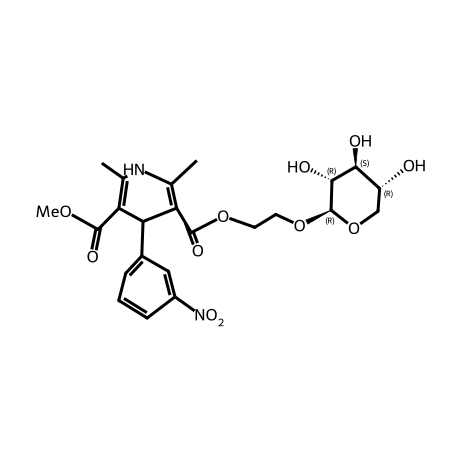 COC(=O)C1=C(C)NC(C)=C(C(=O)OCCO[C@@H]2OC[C@@H](O)[C@H](O)[C@H]2O)C1c1cccc([N+](=O)[O-])c1